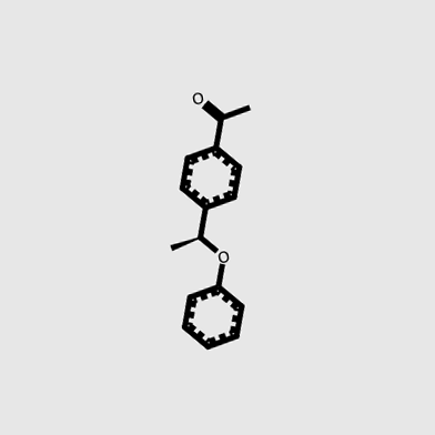 CC(=O)c1ccc([C@H](C)Oc2ccccc2)cc1